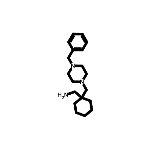 NCC1(CN2CCN(Cc3ccccc3)CC2)CCCCC1